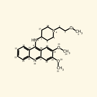 COCCN1CCC(Nc2c3ccccc3nc3cc(OC)c(OC)cc23)CC1